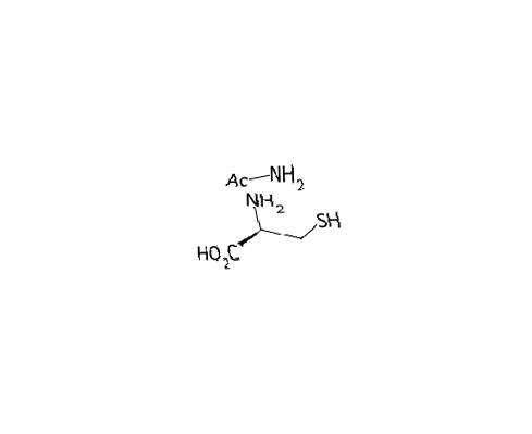 CC(N)=O.N[C@@H](CS)C(=O)O